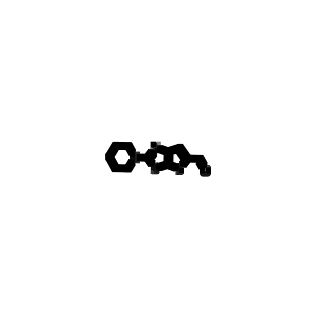 O=Cc1cc2nc(N3CCCCC3)sc2s1